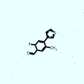 CC1=CC(C=O)C(F)C=C1c1ccsc1